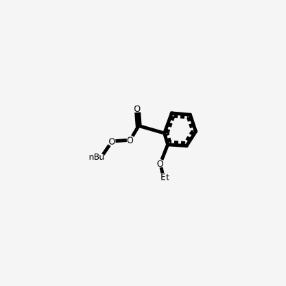 [CH2]CCCOOC(=O)c1ccccc1OCC